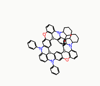 c1ccc(N2c3cc4c(cc3B3c5cc6c(cc5N(c5ccccc5)c5cccc2c53)Oc2cccc3c2B6c2cccc5c2N3C2CCCCC52)B2c3cccc5c3N(c3cccc(c32)O4)C2CCCCC52)cc1